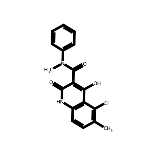 Cc1ccc2[nH]c(=O)c(C(=O)N(C)c3ccccc3)c(O)c2c1Cl